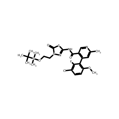 COc1ccc(Cl)c(F)c1-c1cc(C)ncc1C(=O)Nc1nn(CCO[Si](C)(C)C(C)(C)C)c(=O)s1